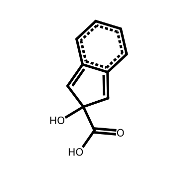 O=C(O)C1(O)C=c2ccccc2=C1